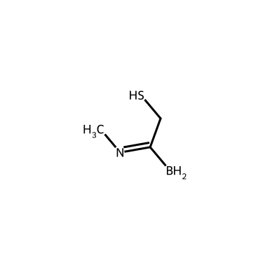 BC(CS)=NC